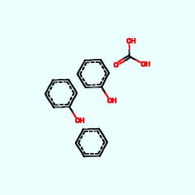 O=C(O)O.Oc1ccccc1.Oc1ccccc1.c1ccccc1